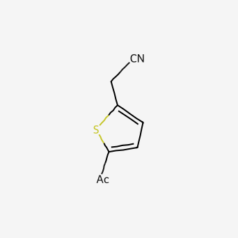 CC(=O)c1ccc(CC#N)s1